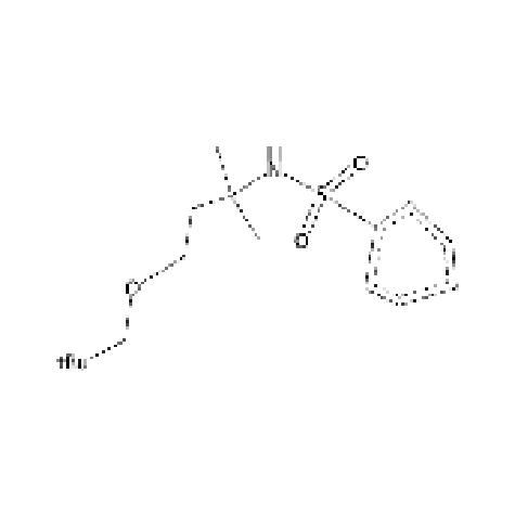 CC(C)(C)COCCC(C)(C)NS(=O)(=O)c1ccccc1